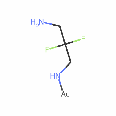 CC(=O)NCC(F)(F)CN